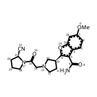 COc1ccc2c(C(N)=O)c([C@H]3CCN(CC(=O)N4CCC[C@H]4C#N)C3)oc2c1